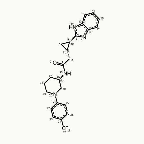 O=C(C[C@@H]1C[C@H]1c1nc2ccccc2[nH]1)N[C@@H]1CCCN(c2ccc(C(F)(F)F)nc2)C1